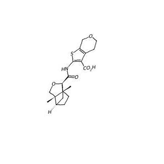 C[C@]12CC[C@@H]3C[C@]1(C(=O)Nc1sc4c(c1C(=O)O)CCOC4)OC[C@@]32C